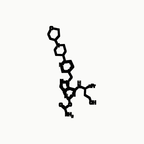 CCC[C@@H](CCO)Nc1nc(OC(N)=O)nc2cnn(Cc3ccc(C4CCN(C5CCOCC5)CC4)nc3)c12